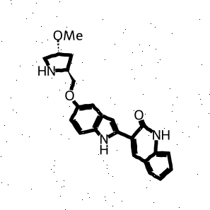 CO[C@H]1CN[C@H](COc2ccc3[nH]c(-c4cc5ccccc5[nH]c4=O)cc3c2)C1